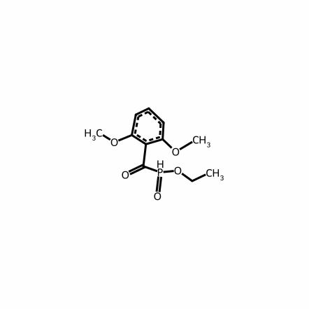 CCO[PH](=O)C(=O)c1c(OC)cccc1OC